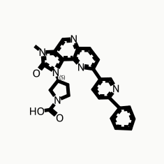 Cn1c(=O)n([C@H]2CCN(C(=O)O)C2)c2c3nc(-c4ccc(-c5ccccc5)nc4)ccc3ncc21